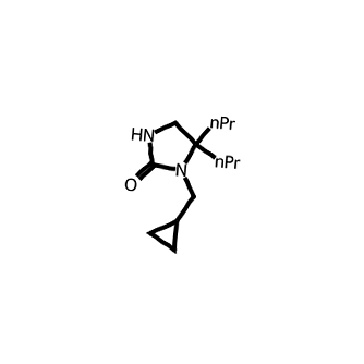 CCCC1(CCC)CNC(=O)N1CC1CC1